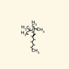 CCCCCC=C[Si](C(C)C)C(C)C